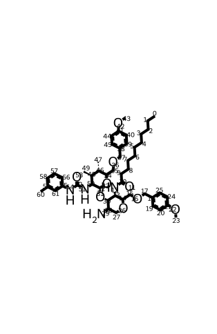 CCCCCCCCCCC(=O)N[C@H]1C(COCc2ccc(OC)cc2)OCC(N)[C@H]1O[C@@H]1OC(COCc2ccc(OC)cc2)[C@@H](C)[C@H](C)C1NC(=O)Nc1cccc(C)c1